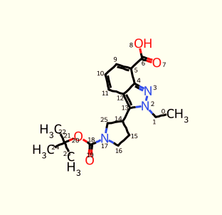 CCn1nc2c(C(=O)O)cccc2c1C1CCN(C(=O)OC(C)(C)C)C1